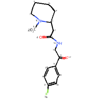 O=C(CC1CCCCN1C(=O)O)NCC(=O)c1ccc(F)cc1